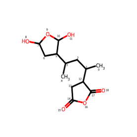 CC(CC(C)C1CC(O)OC1O)C1CC(=O)OC1=O